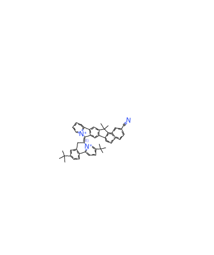 CC(C)(C)c1ccc2c(c1)C/C(=C1/c3cc4c(cc3-c3cccc[n+]31)C(C)(C)c1c-4ccc3ccc(C#N)cc13)[n+]1cc(C(C)(C)C)ccc1-2